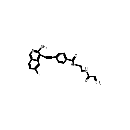 C=CC(=O)NCCNC(=O)c1ccc(C#Cc2c(N)ncc3ccc(Cl)cc23)cc1